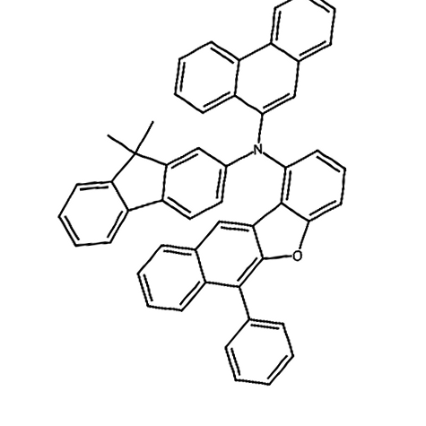 CC1(C)c2ccccc2-c2ccc(N(c3cc4ccccc4c4ccccc34)c3cccc4oc5c(-c6ccccc6)c6ccccc6cc5c34)cc21